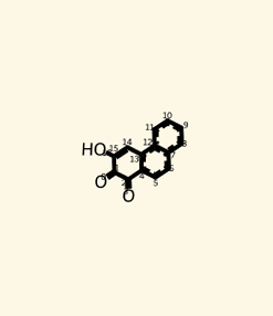 O=C1C(=O)c2ccc3ccccc3c2C=C1O